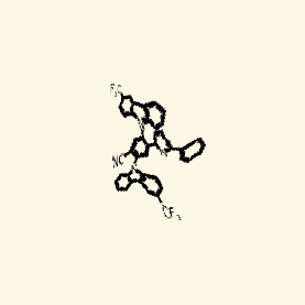 N#Cc1cc(-n2c3ccccc3c3cc(C(F)(F)F)ccc32)c(-c2cccc(-c3ccccc3)n2)cc1-n1c2ccccc2c2cc(C(F)(F)F)ccc21